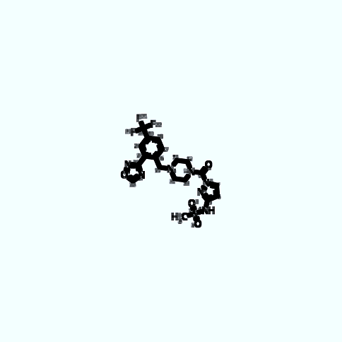 CS(=O)(=O)Nc1ccn(C(=O)N2CCN(Cc3ccc(C(F)(F)F)cc3-c3ncon3)CC2)n1